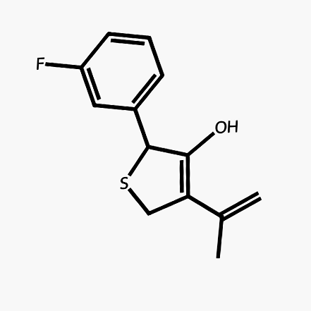 C=C(C)C1=C(O)C(c2cccc(F)c2)SC1